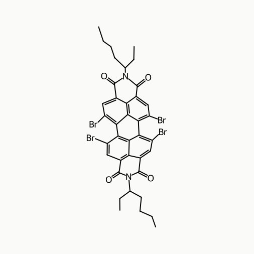 CCCCC(CC)N1C(=O)c2cc(Br)c3c4c(Br)cc5c6c(cc(Br)c(c7c(Br)cc(c2c37)C1=O)c64)C(=O)N(C(CC)CCCC)C5=O